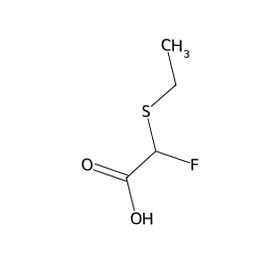 CCSC(F)C(=O)O